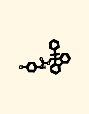 C[Si](C)(c1ccccc1)C1(COC(=O)Nc2ccc(Cl)cc2)c2ccccc2-c2ccccc21